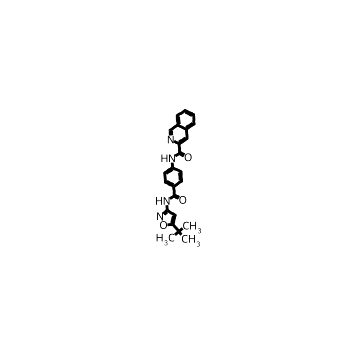 CC(C)(C)c1cc(NC(=O)c2ccc(NC(=O)c3cc4ccccc4cn3)cc2)no1